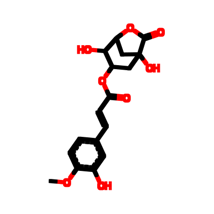 COc1ccc(/C=C/C(=O)OC2CC3(O)CC(OC3=O)C2O)cc1O